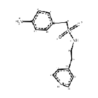 Nc1ccc(CS(=O)(=O)NCCc2ccncc2)cc1